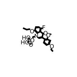 CCCOc1ccc(F)c2c(=O)c(-c3ccc(OCC)cc3OC)cn(COP(=O)(O)O)c12